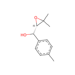 Cc1ccc(C(O)[C@@H]2OC2(C)C)cc1